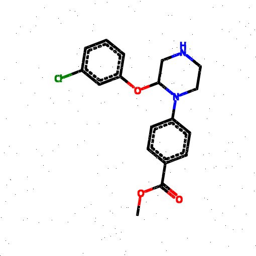 COC(=O)c1ccc(N2CCNCC2Oc2cccc(Cl)c2)cc1